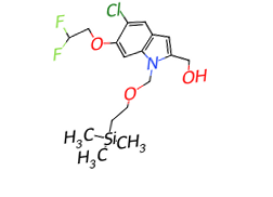 C[Si](C)(C)CCOCn1c(CO)cc2cc(Cl)c(OCC(F)F)cc21